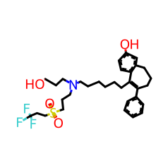 O=S(=O)(CCCN(CCCO)CCCCCCC1=C(c2ccccc2)CCCc2cc(O)ccc21)CCC(F)(F)F